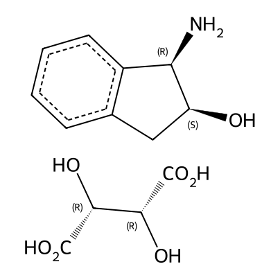 N[C@@H]1c2ccccc2C[C@@H]1O.O=C(O)[C@H](O)[C@@H](O)C(=O)O